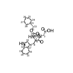 O=C(O)CNC(=O)[C@@H](Cc1c[nH]c2ccccc12)NC(=O)OCc1ccccc1